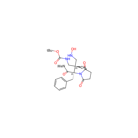 CNC(=O)[C@](Cc1ccccc1)(N1C(=O)CCC1=O)[C@@](C)(CNO)CNC(=O)OC(C)(C)C